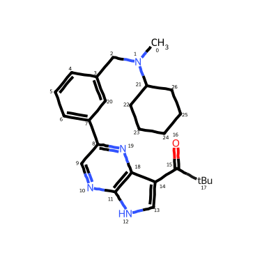 CN(Cc1cccc(-c2cnc3[nH]cc(C(=O)C(C)(C)C)c3n2)c1)C1CCCCC1